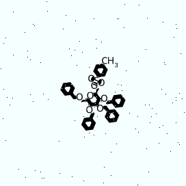 Cc1ccc(S(=O)(=O)OC[C@@H]2O[C@H](COCc3ccccc3)[C@@H](OCc3ccccc3)[C@H](OCc3ccccc3)[C@H]2OCc2ccccc2)cc1